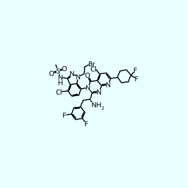 CS(=O)(=O)Nc1nn(CCBr)c2c(-n3c([C@@H](N)Cc4cc(F)cc(F)c4)nc4nc(C5CCC(F)(F)CC5)cc(Cl)c4c3=O)ccc(Cl)c12